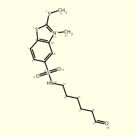 CSc1sc2ccc(S(=O)(=O)NCCCCCC=O)cc2[n+]1C